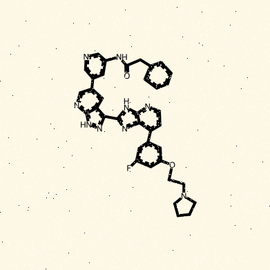 O=C(Cc1ccccc1)Nc1cncc(-c2cnc3[nH]nc(-c4nc5c(-c6cc(F)cc(OCCN7CCCC7)c6)ccnc5[nH]4)c3c2)c1